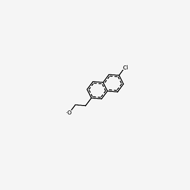 [O]CCc1ccc2cc(Cl)ccc2c1